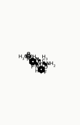 C[C@@H](Oc1cc(F)ccc1Nc1ncnc2cc(N=S(C)(C)=O)cc(F)c12)C(N)=O